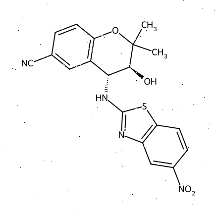 CC1(C)Oc2ccc(C#N)cc2[C@@H](Nc2nc3cc([N+](=O)[O-])ccc3s2)[C@@H]1O